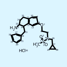 CS(=O)(=O)N(CCOc1ccc2c(c1)C(Cc1ccccc1)C(N)CC2)CC1CC1.Cl